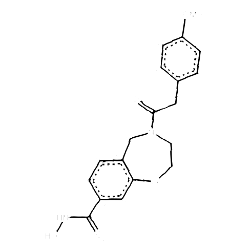 COc1ccc(CC(=O)N2CCOc3cc(C(=O)NO)ccc3C2)cc1